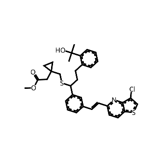 COC(=O)CC1(CSC(CCc2ccccc2C(C)(C)O)c2cccc(/C=C/c3ccc4scc(Cl)c4n3)c2)CC1